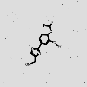 CC(C)OC1=CC(c2nc(CN=O)co2)=CC[C@H]1OC(F)F